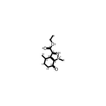 CCOC(=O)c1nn(C)c2c1C(C)CCC2=O